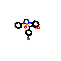 O=CCC(c1ccc(Br)cc1)P1(=O)N(c2ccccc2)CCN1c1ccccc1